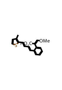 CO/C=C(/C(=O)O)c1ccccc1C=C/C=C/c1sccc1C